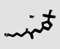 CCCCNC(=O)C=Cc1ccc(S(=O)(=O)[O-])o1.[Na+]